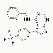 FC(F)(F)c1ccc(-c2csc3ncnc(NCc4ccccn4)c23)cc1